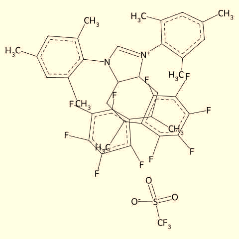 Cc1cc(C)c(N2C=[N+](c3c(C)cc(C)cc3C)C(CC(C)c3c(F)c(F)c(F)c(F)c3F)C2CC(C)c2c(F)c(F)c(F)c(F)c2F)c(C)c1.O=S(=O)([O-])C(F)(F)F